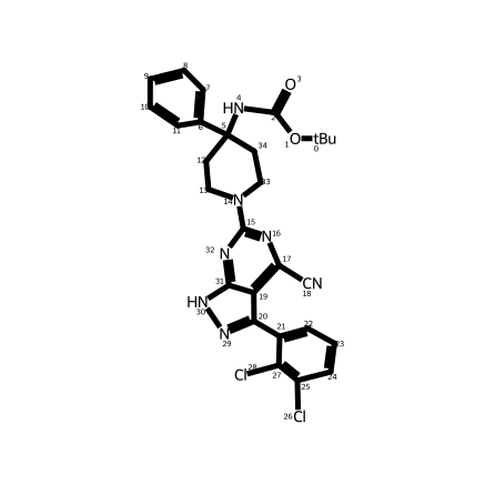 CC(C)(C)OC(=O)NC1(c2ccccc2)CCN(c2nc(C#N)c3c(-c4cccc(Cl)c4Cl)n[nH]c3n2)CC1